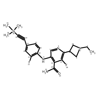 CCN1CC(c2ncc(Nc3ccc(C#C[Si](C)(C)C)cc3F)c(C(N)=O)c2F)C1